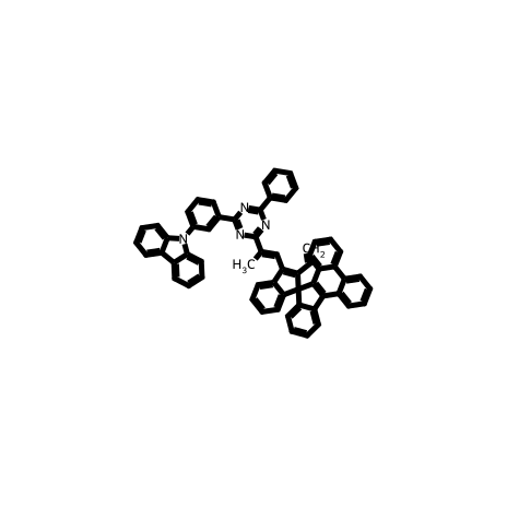 C=CC1=C(/C=C(\C)c2nc(-c3ccccc3)nc(-c3cccc(-n4c5ccccc5c5ccccc54)c3)n2)c2ccccc2C12c1ccccc1-c1c2c2ccccc2c2ccccc12